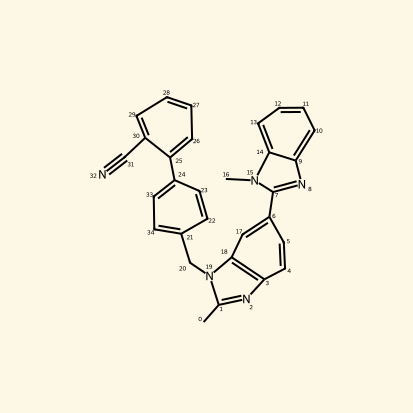 Cc1nc2ccc(-c3nc4ccccc4n3C)cc2n1Cc1ccc(-c2ccccc2C#N)cc1